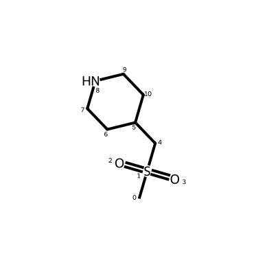 CS(=O)(=O)CC1CCNCC1